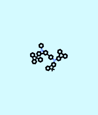 CC1(C)c2ccccc2-c2cc(N(c3ccc(-c4ccc5c(c4)c4cc(C6(c7ccccc7)c7ccccc7-c7ccccc76)ccc4n5-c4ccccc4)cc3)c3ccc4c5ccccc5c5ccccc5c4c3)ccc21